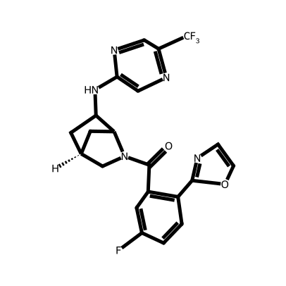 O=C(c1cc(F)ccc1-c1ncco1)N1C[C@H]2CC(Nc3cnc(C(F)(F)F)cn3)C1C2